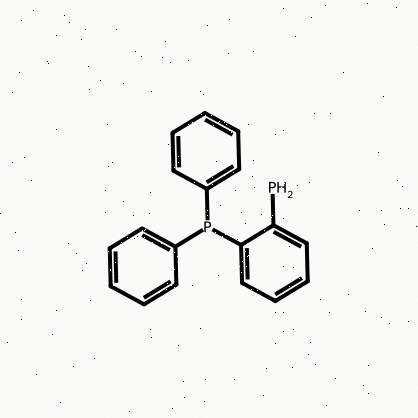 Pc1ccccc1P(c1ccccc1)c1ccccc1